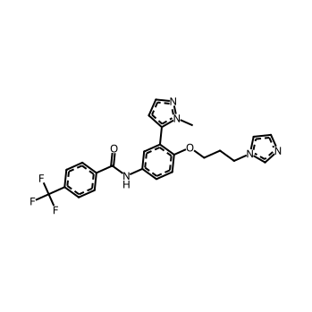 Cn1nccc1-c1cc(NC(=O)c2ccc(C(F)(F)F)cc2)ccc1OCCCn1ccnc1